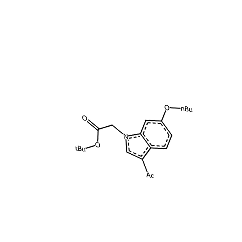 CCCCOc1ccc2c(C(C)=O)cn(CC(=O)OC(C)(C)C)c2c1